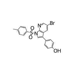 Cc1ccc(S(=O)(=O)n2cc(-c3ccc(O)cc3)c3cc(Br)cnc32)cc1